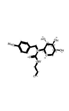 COc1ccc(CN(C(=O)NCCCl)C2OC[C@H](O)[C@H](O)[C@H]2O)cc1